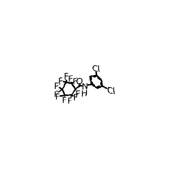 O=C(Nc1cc(Cl)cc(Cl)c1)C1(F)C(F)(F)C(F)(F)C(F)(F)C(F)(F)C1(F)F